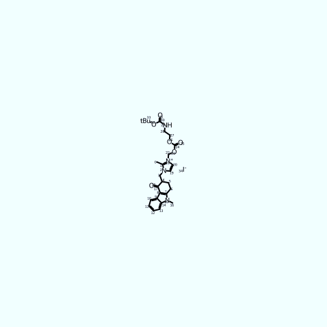 Cc1n(CC2CCc3c(c4ccccc4n3C)C2=O)cc[n+]1COC(=O)OCCNC(=O)OC(C)(C)C.[I-]